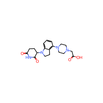 O=C(O)CN1CCN(c2cccc3c2CCN3C2CCC(=O)NC2=O)CC1